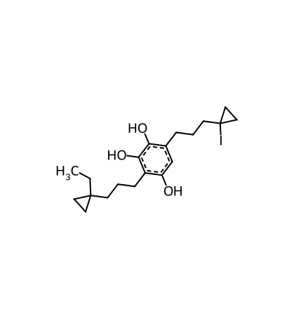 CCC1(CCCc2c(O)cc(CCCC3(I)CC3)c(O)c2O)CC1